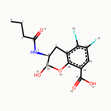 CCCC(=O)N[C@H]1Cc2c(F)c(F)cc(C(=O)O)c2OB1O